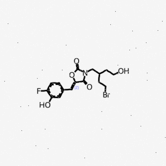 O=C1O/C(=C\c2ccc(F)c(O)c2)C(=O)N1CC(CCO)CCBr